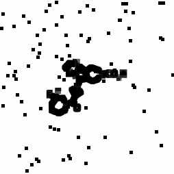 O=C(O)N1CCc2c(c3nccnn3c2N2CC(C(=O)N3CCCCC(F)(F)C3)C2)CC1